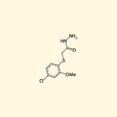 COc1cc(Cl)ccc1SCC(=O)NN